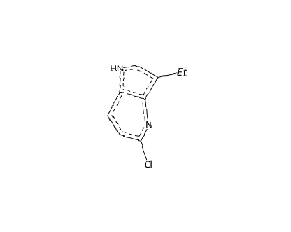 CCc1c[nH]c2ccc(Cl)nc12